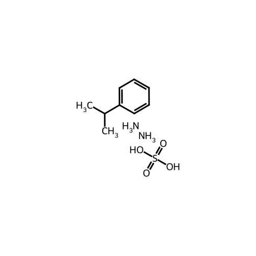 CC(C)c1ccccc1.N.N.O=S(=O)(O)O